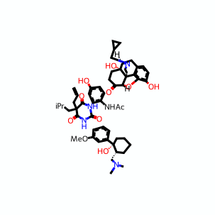 C=CCC1(CC(C)C)C(=O)NC(=O)NC1=O.CC(=O)Nc1ccc(O)cc1.COc1cccc([C@@]2(O)CCCC[C@@H]2CN(C)C)c1.O=C1CC[C@@]2(O)[C@H]3Cc4ccc(O)c5c4[C@@]2(CCN3CC2CC2)[C@H]1O5